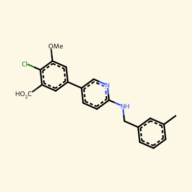 COc1cc(-c2ccc(NCc3cccc(C)c3)nc2)cc(C(=O)O)c1Cl